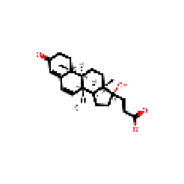 C[C@]12CCC(=O)C=C1C=C[C@@H]1[C@@H]2CC[C@@]2(C)[C@H]1CC[C@@]2(O)CCC(=O)[O-].[K+]